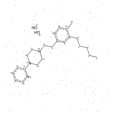 CCCCCc1cc(CCN2CCN(c3ccccn3)CC2)ccc1C.Cl.Cl